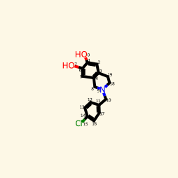 Oc1cc2c(cc1O)CN(Cc1ccc(Cl)cc1)CC2